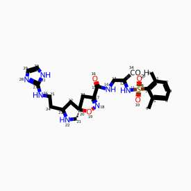 Cc1cccc(C)c1S(=O)(=O)NC(CNC(=O)C1=NO[C@]2(CNC(CCNc3ncc[nH]3)C2)C1)C(=O)O